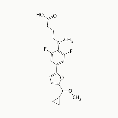 COC(c1ccc(-c2cc(F)c(N(C)CCCC(=O)O)c(F)c2)o1)C1CC1